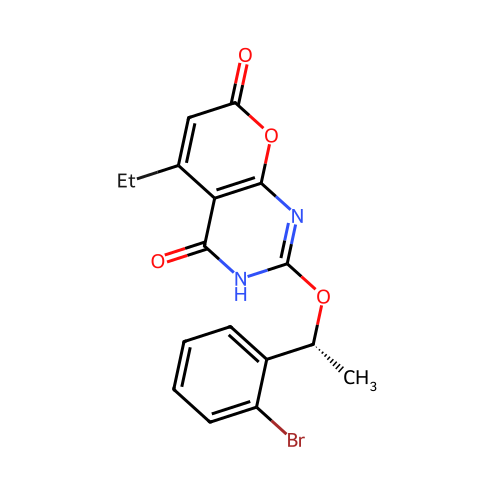 CCc1cc(=O)oc2nc(O[C@H](C)c3ccccc3Br)[nH]c(=O)c12